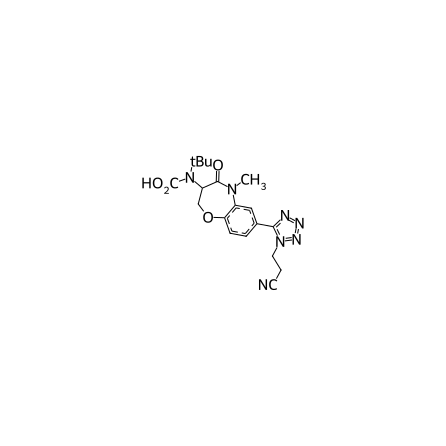 CN1C(=O)C(N(C(=O)O)C(C)(C)C)COc2ccc(-c3nnnn3CCC#N)cc21